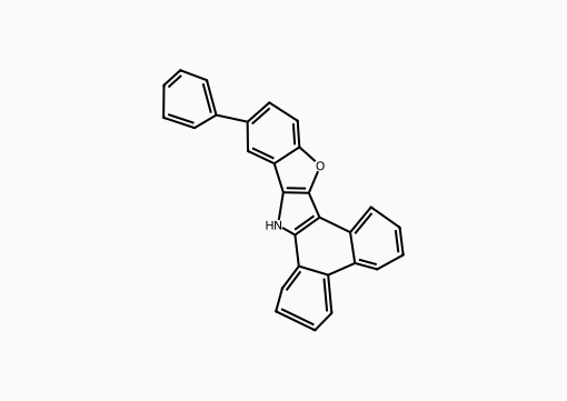 c1ccc(-c2ccc3oc4c([nH]c5c6ccccc6c6ccccc6c54)c3c2)cc1